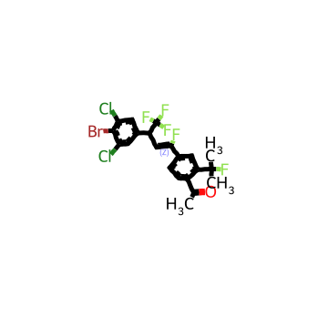 CC(=O)c1ccc(/C(F)=C/C(c2cc(Cl)c(Br)c(Cl)c2)C(F)(F)F)cc1C(C)(C)F